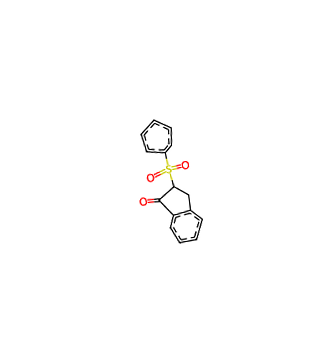 O=C1c2ccccc2CC1S(=O)(=O)c1ccccc1